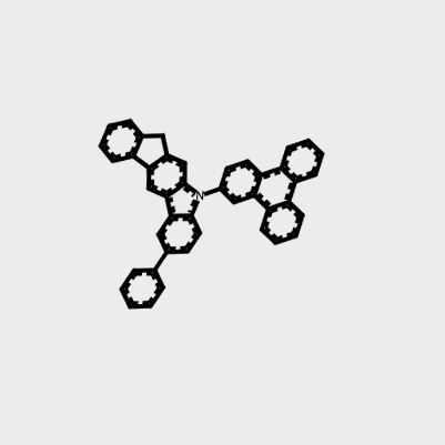 c1ccc(-c2ccc3c(c2)c2cc4c(cc2n3-c2ccc3c5ccccc5c5ccccc5c3c2)Cc2ccccc2-4)cc1